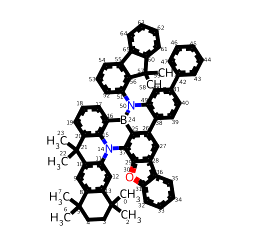 CC1(C)CCC(C)(C)c2cc3c(cc21)N1c2c(cccc2C3(C)C)B2c3c(cc4c(oc5ccccc54)c31)-c1ccc(-c3ccccc3)cc1N2c1cccc2c1C(C)(C)c1ccccc1-2